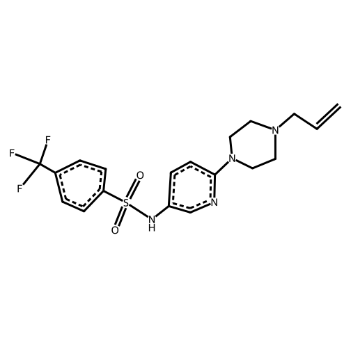 C=CCN1CCN(c2ccc(NS(=O)(=O)c3ccc(C(F)(F)F)cc3)cn2)CC1